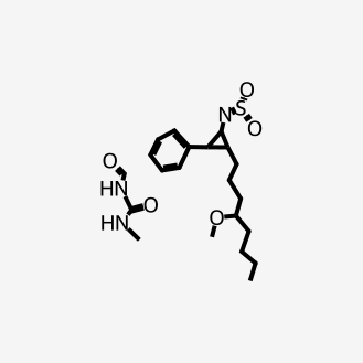 CCCCC(CCCC1C(N=S(=O)=O)C1c1ccccc1)OC.CNC(=O)NC=O